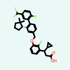 CC1(C)CCC[C@H]1c1cc(COc2cccc(C(CC(=O)O)C3CC3)c2F)ccc1-c1cc(C(F)F)ccc1F